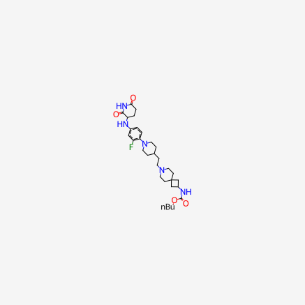 CCCCOC(=O)NC1CC2(CCN(CCC3CCN(c4ccc(NC5CCC(=O)NC5=O)cc4F)CC3)CC2)C1